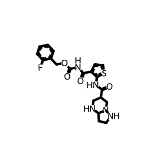 O=C(NC(=O)c1ccsc1NC(=O)C1CNC2CCNN2C1)OCc1ccccc1F